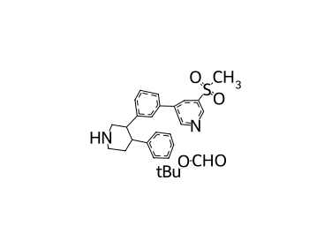 CC(C)(C)OC=O.CS(=O)(=O)c1cncc(-c2cccc(C3CNCCC3c3ccccc3)c2)c1